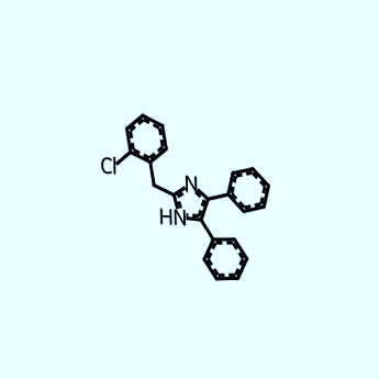 Clc1ccccc1Cc1nc(-c2ccccc2)c(-c2ccccc2)[nH]1